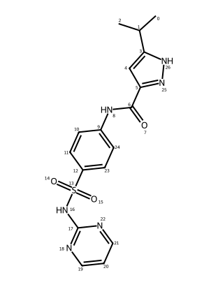 CC(C)c1cc(C(=O)Nc2ccc(S(=O)(=O)Nc3ncccn3)cc2)n[nH]1